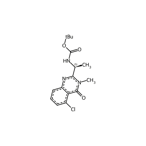 C[C@H](NC(=O)OC(C)(C)C)c1nc2cccc(Cl)c2c(=O)n1C